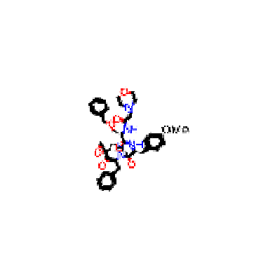 COc1ccc(C[C@H](NC(=O)[C@H](COCc2ccccc2)NC(=O)CN2CCOCC2)C(=O)NC(Cc2ccccc2)C(=O)[C@@]2(C)CO2)cc1